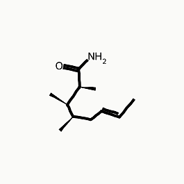 C/C=C/C[C@@H](C)[C@@H](C)[C@H](C)C(N)=O